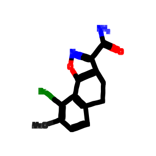 COc1ccc2c(c1Br)-c1onc(C(N)=O)c1CC2